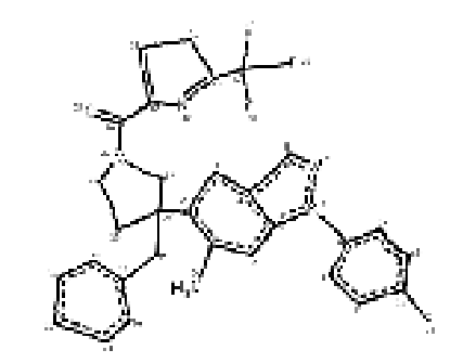 Cc1cc2c(cnn2-c2ccc(F)cc2)cc1C1(Cc2ccccc2)CCN(C(=O)C2=CCC(C(F)(F)F)=N2)C1